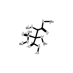 CCC(C)OC(=O)C(OC(C)CC)C(OC(C)CC)(C(=O)OCl)P(=O)(O)OC(C)CC